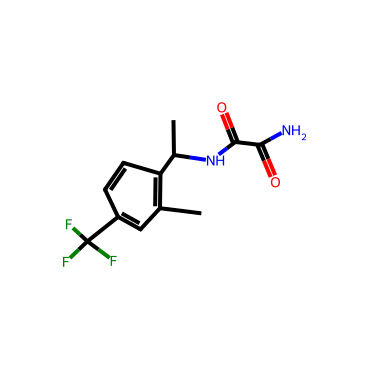 Cc1cc(C(F)(F)F)ccc1C(C)NC(=O)C(N)=O